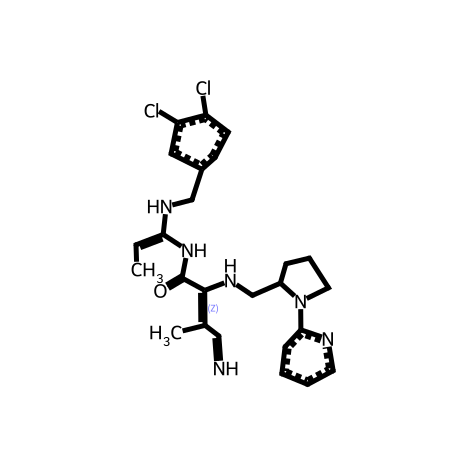 CC=C(NCc1ccc(Cl)c(Cl)c1)NC(=O)/C(NCC1CCCN1c1ccccn1)=C(\C)C=N